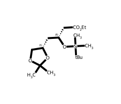 CCOC(=O)C[C@@H](C[C@H]1COC(C)(C)O1)O[Si](C)(C)C(C)(C)C